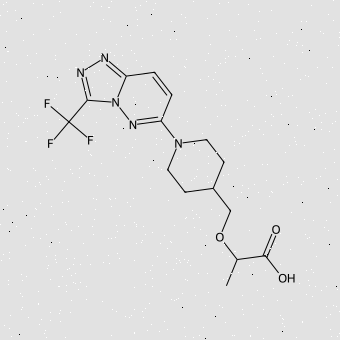 CC(OCC1CCN(c2ccc3nnc(C(F)(F)F)n3n2)CC1)C(=O)O